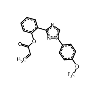 C=CC(=O)Oc1ccccc1-c1ncn(-c2ccc(OC(F)(F)F)cc2)n1